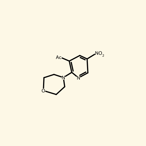 CC(=O)c1cc([N+](=O)[O-])cnc1N1CCOCC1